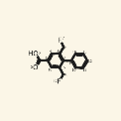 O=C(O)c1cc(CF)c(-c2ccccc2)c(CF)c1